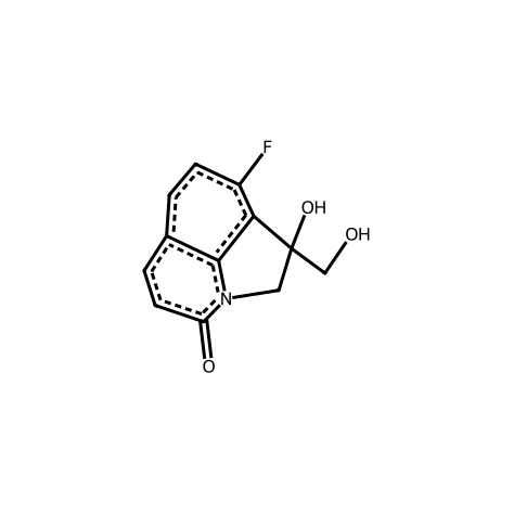 O=c1ccc2ccc(F)c3c2n1CC3(O)CO